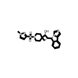 Cn1ccc(S(=O)(=O)N2CCC3(CC2)C[C@@H]([C@H]2c4ccccc4-c4cncn42)[C@H]3O)n1